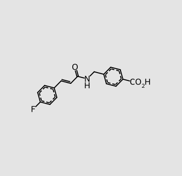 O=C(C=Cc1ccc(F)cc1)NCc1ccc(C(=O)O)cc1